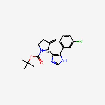 C=C1CCN(C(=O)OC(C)(C)C)[C@@H]1c1nc[nH]c1-c1cccc(Br)c1